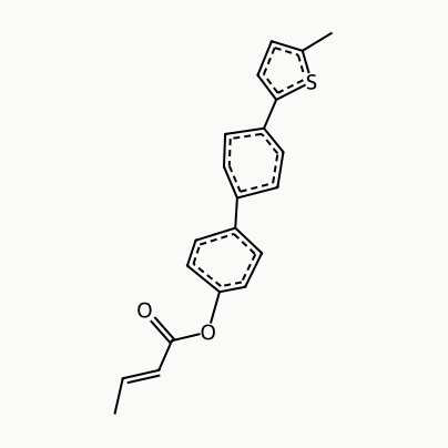 C/C=C/C(=O)Oc1ccc(-c2ccc(-c3ccc(C)s3)cc2)cc1